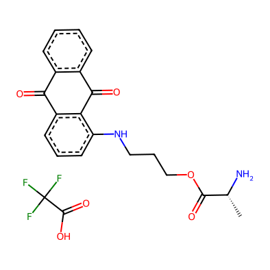 C[C@@H](N)C(=O)OCCCNc1cccc2c1C(=O)c1ccccc1C2=O.O=C(O)C(F)(F)F